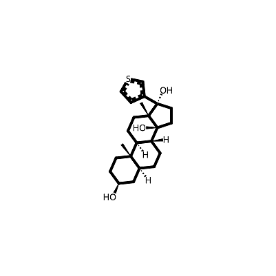 C[C@]12CC[C@H](O)C[C@@H]1CC[C@@H]1[C@@H]2CC[C@]2(C)[C@@](O)(c3ccsc3)CC[C@]12O